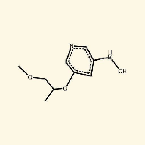 COCC(C)Oc1cncc(BO)c1